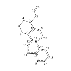 C=CCC1CCCc2c1ccc1c2ccc2ccccc21